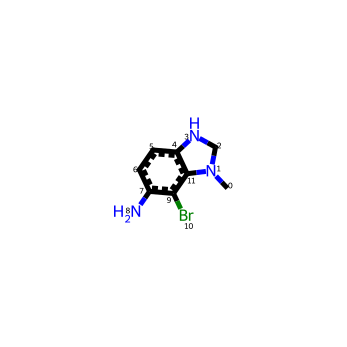 CN1CNc2ccc(N)c(Br)c21